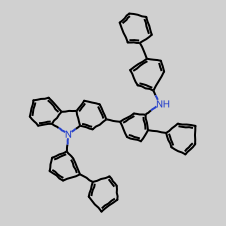 c1ccc(-c2ccc(Nc3cc(-c4ccc5c6ccccc6n(-c6cccc(-c7ccccc7)c6)c5c4)ccc3-c3ccccc3)cc2)cc1